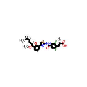 COc1c(-c2csc(NC(=O)c3cc(F)c(/C=C(\C)C(=O)O)c(F)c3)n2)cccc1C(CCCC(C)C)OC